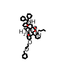 CCCCn1c(=O)c(N(C(N)=O)c2c(C(C)C)cc(NC(c3ccccc3)(c3ccccc3)c3ccccc3)cc2C(C)C)c(-c2cccc(OCCCOCc3ccccc3)c2)c2cccnc21